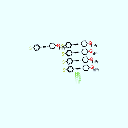 CCCO[C@H]1CC[C@H](C#Cc2ccc([S])cc2)CC1.CCCO[C@H]1CC[C@H](C#Cc2ccc([S])cc2)CC1.CCCO[C@H]1CC[C@H](C#Cc2ccc([S])cc2)CC1.CCCO[C@H]1CC[C@H](C#Cc2ccc([S])cc2)CC1.CCCO[C@H]1CC[C@H](C#Cc2ccc([S])cc2)CC1.F.F.F.F.F